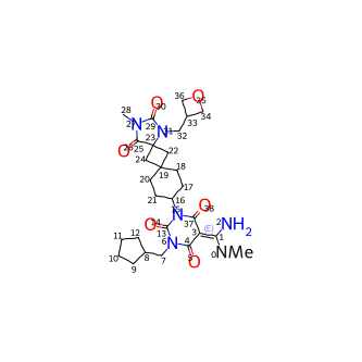 CN/C(N)=C1\C(=O)N(CC2CCCC2)C(=O)N(C2CCC3(CC2)CC2(C3)C(=O)N(C)C(=O)N2CC2COC2)C1=O